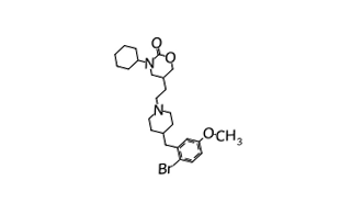 COc1ccc(Br)c(CC2CCN(CCC3COC(=O)N(C4CCCCC4)C3)CC2)c1